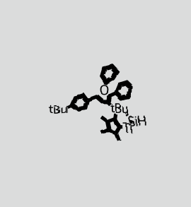 CC(C)(C)C(C=Cc1ccc(C(C)(C)C)cc1)=C(Oc1ccccc1)c1ccccc1.CC1=C(C)C(C)[C]([Ti][SiH](C)C)=C1C